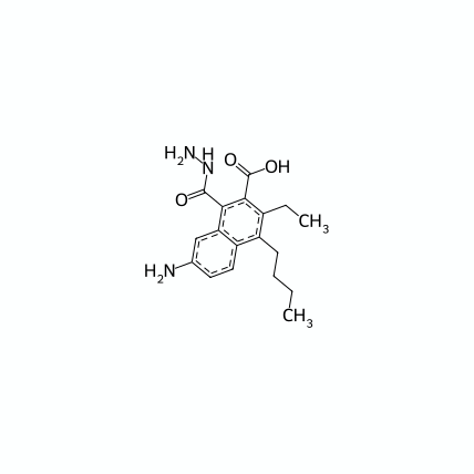 CCCCc1c(CC)c(C(=O)O)c(C(=O)NN)c2cc(N)ccc12